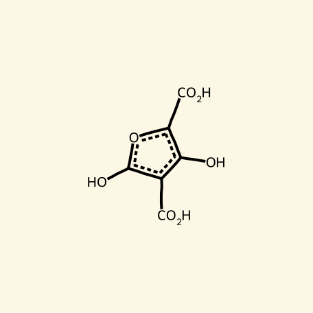 O=C(O)c1oc(O)c(C(=O)O)c1O